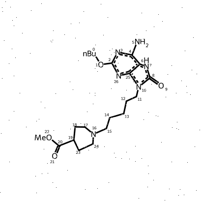 CCCCOc1nc(N)c2[nH]c(=O)n(CCCCCN3CCC(C(=O)OC)CC3)c2n1